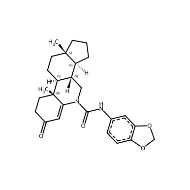 C[C@@]12CCC[C@H]1[C@@H]1CN(C(=O)Nc3ccc4c(c3)OCO4)C3=CC(=O)CC[C@]3(C)[C@H]1CC2